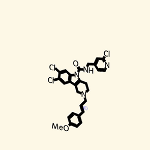 COc1ccc(/C=C/CN2CCc3c(c4cc(Cl)c(Cl)cc4n3C(=O)NCc3ccnc(Cl)c3)C2)cc1